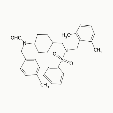 Cc1ccc(CN(C=O)C2CCC(CN(Cc3c(C)cccc3C)S(=O)(=O)c3ccccc3)CC2)cc1